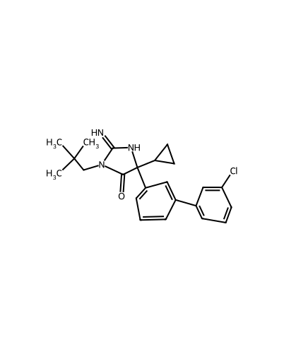 CC(C)(C)CN1C(=N)NC(c2cccc(-c3cccc(Cl)c3)c2)(C2CC2)C1=O